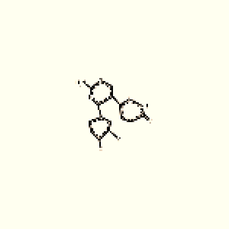 Nc1ncc(-c2ccc(=O)[nH]n2)c(-c2ccc(Cl)c(Cl)c2)n1